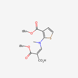 CCC(C)OC(=O)C(=CN(C)c1sccc1C(=O)OC(C)(C)C)C(=O)O